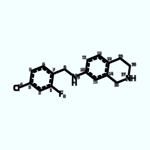 Fc1cc(Cl)ccc1CNc1ccc2c(c1)CNCC2